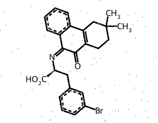 CC1(C)CCC2=C(C1)c1ccccc1/C(=N/[C@@H](Cc1cccc(Br)c1)C(=O)O)C2=O